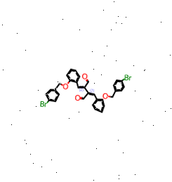 O=CC(=C\c1ccccc1OCc1ccc(Br)cc1)/C(C=O)=C/c1ccccc1OCc1ccc(Br)cc1